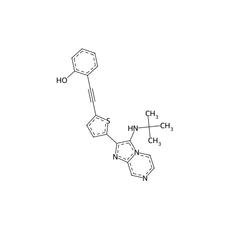 CC(C)(C)Nc1c(-c2ccc(C#Cc3ccccc3O)s2)nc2cnccn12